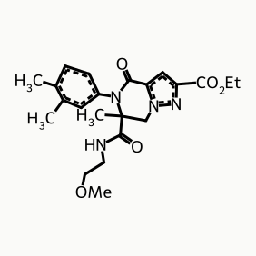 CCOC(=O)c1cc2n(n1)CC(C)(C(=O)NCCOC)N(c1ccc(C)c(C)c1)C2=O